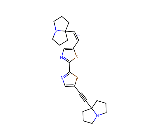 C(#CC12CCCN1CCC2)c1cnc(-c2ncc(/C=C\C34CCCN3CCC4)s2)s1